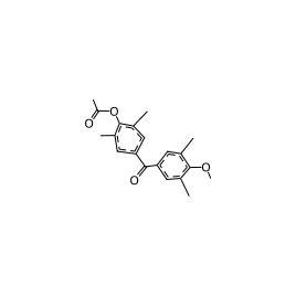 COc1c(C)cc(C(=O)c2cc(C)c(OC(C)=O)c(C)c2)cc1C